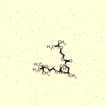 CC(CNC(=O)OCCOC(C)C)NC(=O)OCCOC(C)(C)C